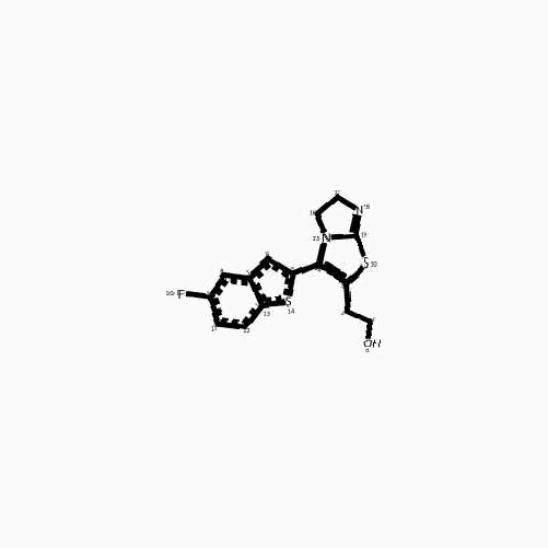 OCCC1=C(c2cc3cc(F)ccc3s2)N2CCN=C2S1